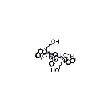 CC1(C)C(/C=C/C2=C(S(=O)(=O)c3ccccc3)C(=C/C=C3/N(CCCCO)c4ccc5ccccc5c4C3(C)C)/CC2)=[N+](CCCCO)c2ccc3ccccc3c21